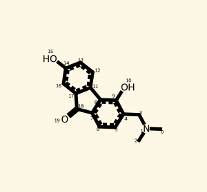 CN(C)Cc1ccc2c(c1O)-c1ccc(O)cc1C2=O